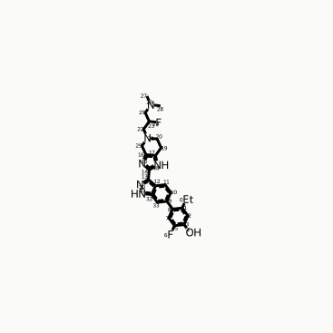 CCc1cc(O)c(F)cc1-c1ccc2c(-c3nc4c([nH]3)CCN(CC(F)CN(C)C)C4)n[nH]c2c1